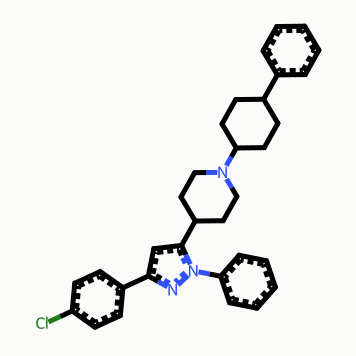 Clc1ccc(-c2cc(C3CCN(C4CCC(c5ccccc5)CC4)CC3)n(-c3ccccc3)n2)cc1